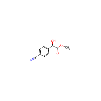 COC(=O)[C@H](O)c1ccc(C#N)cc1